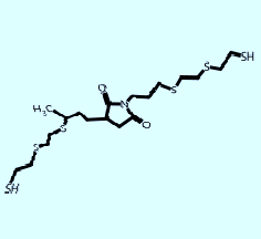 CC(CCC1CC(=O)N(CCCSCCSCCS)C1=O)SCCSCCS